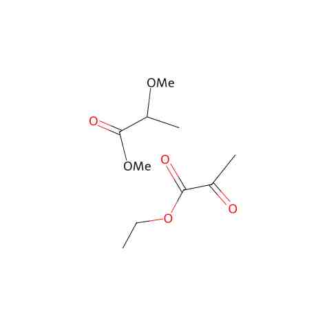 CCOC(=O)C(C)=O.COC(=O)C(C)OC